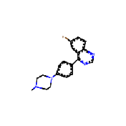 CN1CCN(c2ccc(-c3ncnc4ccc(Br)cc34)cc2)CC1